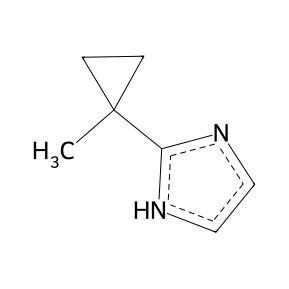 CC1(c2ncc[nH]2)CC1